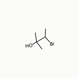 CC(Br)C(C)(C)O